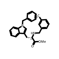 COC(=O)[C@H](Cc1cn(Cc2ccccc2)c2ccccc12)NCc1cccc(C(F)(F)F)c1